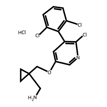 Cl.NCC1(COc2cnc(Cl)c(-c3c(Cl)cccc3Cl)c2)CC1